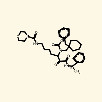 C[C@@H](NC(=O)C(=O)C(CCCCNC(=O)N1CCOCC1)N(CC1(Cc2ccccc2)CCCCC1)C(=O)O)c1ccccc1